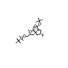 COC(=O)[C@@]1(CCCO[Si](C)(C)C(C)(C)C)C[C@@H](F)CN1C(=O)OC(C)(C)C